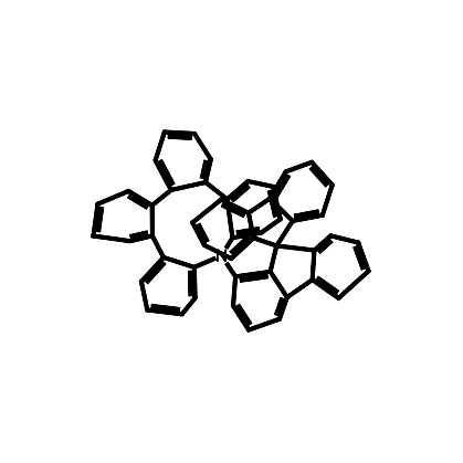 c1ccc2c(c1)-c1ccccc1C21c2ccccc2-c2cccc(-n3c4ccccc4c4ccccc4c4ccccc4c4ccccc43)c21